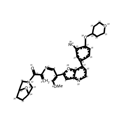 C=C(/N=C\C(=C\OC)c1cc2nccc(-c3ccc(OC4CCOCC4)c(C#N)c3)c2o1)C(=O)N1CC2CCC(C1)O2